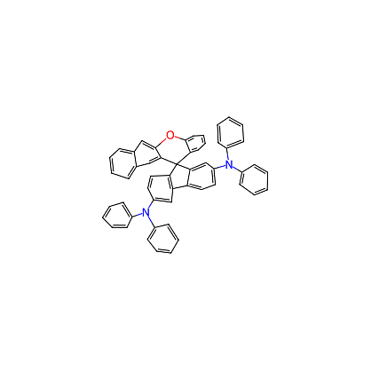 c1ccc(N(c2ccccc2)c2ccc3c(c2)-c2ccc(N(c4ccccc4)c4ccccc4)cc2C32c3ccccc3Oc3cc4ccccc4cc32)cc1